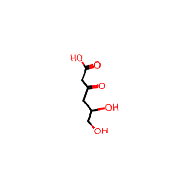 O=C(O)CC(=O)CC(O)CO